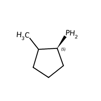 CC1CCC[C@@H]1P